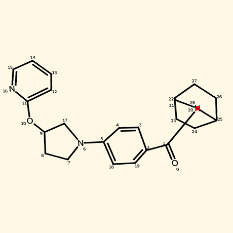 O=C(c1ccc(N2CCC(Oc3ccccn3)C2)cc1)N1CC2CCC(CC2)C1